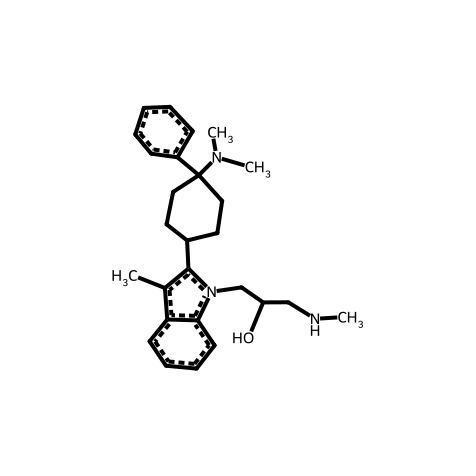 CNCC(O)Cn1c(C2CCC(c3ccccc3)(N(C)C)CC2)c(C)c2ccccc21